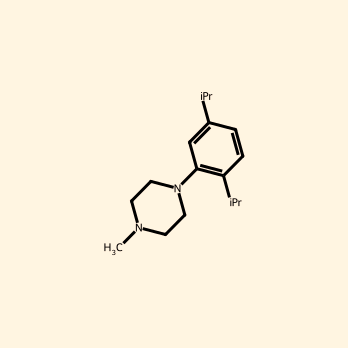 CC(C)c1ccc(C(C)C)c(N2CCN(C)CC2)c1